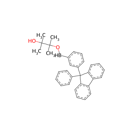 CC(C)(O)C(C)(C)OBc1cccc(C2(c3ccccc3)c3ccccc3-c3ccccc32)c1